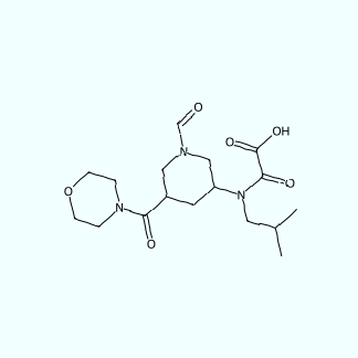 CC(C)CN(C(=O)C(=O)O)C1CC(C(=O)N2CCOCC2)CN(C=O)C1